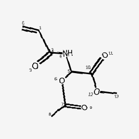 C=CC(=O)NC(OC(C)=O)C(=O)OC